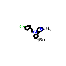 CN1C2CCC1c1c(n(CCc3ccc(Cl)cc3)c3ccc(C(C)(C)C)cc13)C2